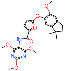 COc1nc(OC)c(NC(=O)c2ccc(Oc3cc4c(cc3OC)CCC4(C)C)o2)c(OC)n1